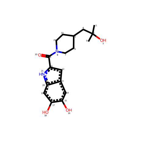 CC(C)(O)CC1CCN(C(=O)c2cc3cc(O)c(O)cc3[nH]2)CC1